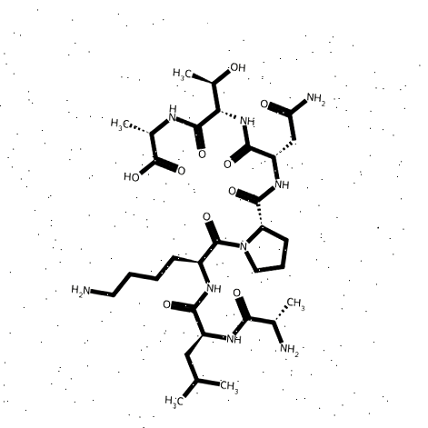 CC(C)C[C@H](NC(=O)[C@H](C)N)C(=O)N[C@@H](CCCCN)C(=O)N1CCC[C@H]1C(=O)N[C@@H](CC(N)=O)C(=O)N[C@H](C(=O)N[C@@H](C)C(=O)O)[C@@H](C)O